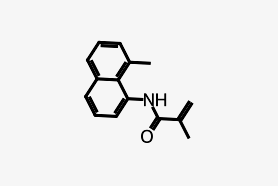 C=C(C)C(=O)Nc1cccc2cccc(C)c12